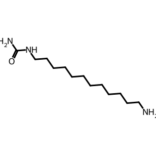 NCCCCCCCCCCCCNC(N)=O